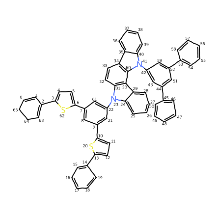 C1=CC(c2ccc(-c3cc(-c4ccc(-c5ccccc5)s4)cc(-n4c5ccccc5c5c4ccc4c6ccccc6n(-c6cc(-c7ccccc7)cc(-c7ccccc7)c6)c45)c3)s2)=CCC1